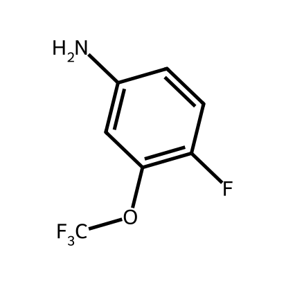 Nc1ccc(F)c(OC(F)(F)F)c1